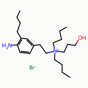 CCCCc1cc(CC[N+](CCCC)(CCCC)CCCO)ccc1N.[Br-]